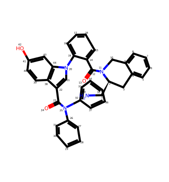 NC[C@@H]1Cc2ccccc2CN1C(=O)c1ccccc1-n1cc(C(=O)N(c2ccccc2)c2ccccc2)c2ccc(O)cc21